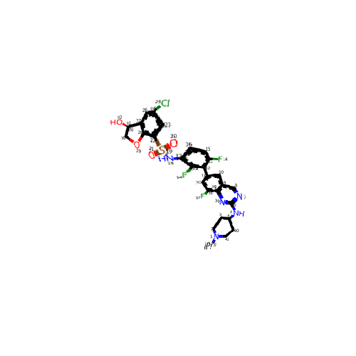 CC(C)N1CCC(Nc2ncc3cc(-c4c(F)ccc(NS(=O)(=O)c5cc(Cl)cc6c5OC[C@H]6O)c4F)cc(F)c3n2)CC1